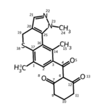 Cc1cc(C(=O)C2C(=O)CCCC2=O)c(C)c2c1SCc1cnn(C)c1-2